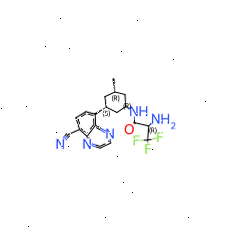 C[C@H]1C[C@@H](NC(=O)[C@@H](N)C(F)(F)F)C[C@@H](c2ccc(C#N)c3nccnc23)C1